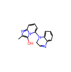 Cc1nc2cccc(N3CC=Nc4ccccc43)n2c1O